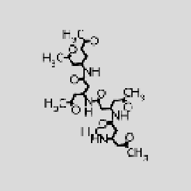 CNC(CC(C)=O)CC(=O)NC(CC(C)=O)CC(=O)NC(CC(C)=O)CC(=O)NC(CCC(C)=O)CC(C)=O